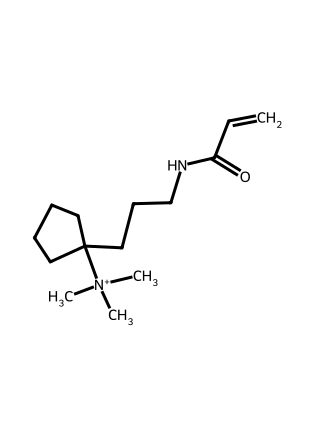 C=CC(=O)NCCCC1([N+](C)(C)C)CCCC1